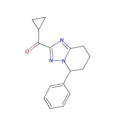 O=C(c1nc2n(n1)C(c1ccccc1)CCC2)C1CC1